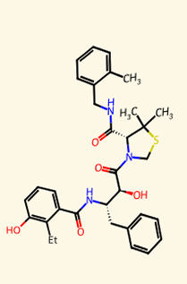 CCc1c(O)cccc1C(=O)N[C@@H](Cc1ccccc1)[C@H](O)C(=O)N1CSC(C)(C)[C@H]1C(=O)NCc1ccccc1C